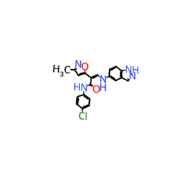 Cc1cc(/C(=C/Nc2ccc3[nH]ncc3c2)C(=O)Nc2ccc(Cl)cc2)on1